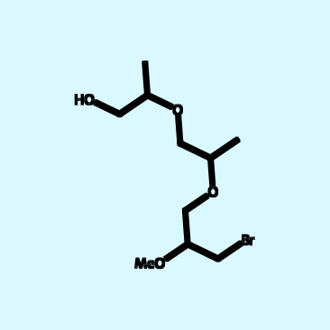 COC(CBr)COC(C)COC(C)CO